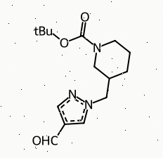 CC(C)(C)OC(=O)N1CCCC(Cn2cc(C=O)cn2)C1